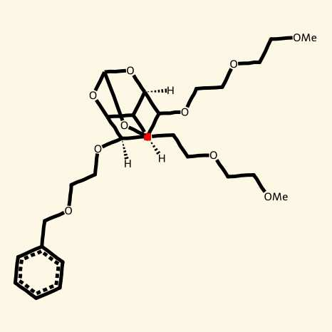 COCCOCCOC1C2OC3O[C@H]1C(OCCOCCOC)[C@H](O3)[C@H]2OCCOCc1ccccc1